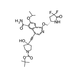 CC(C)Oc1cc2c(OC[C@@H]3CC(F)(F)C(=O)N3)ncc(C#CC3(O)CCN(C(=O)OC(C)(C)C)CC3)c2cc1C(N)=O